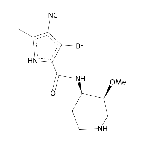 [C-]#[N+]c1c(C)[nH]c(C(=O)N[C@@H]2CCNC[C@@H]2OC)c1Br